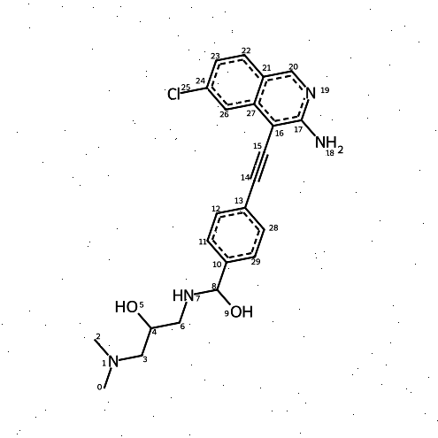 CN(C)CC(O)CNC(O)c1ccc(C#Cc2c(N)ncc3ccc(Cl)cc23)cc1